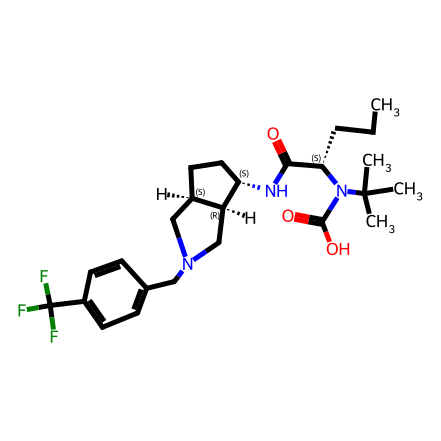 CCC[C@@H](C(=O)N[C@H]1CC[C@@H]2CN(Cc3ccc(C(F)(F)F)cc3)C[C@@H]21)N(C(=O)O)C(C)(C)C